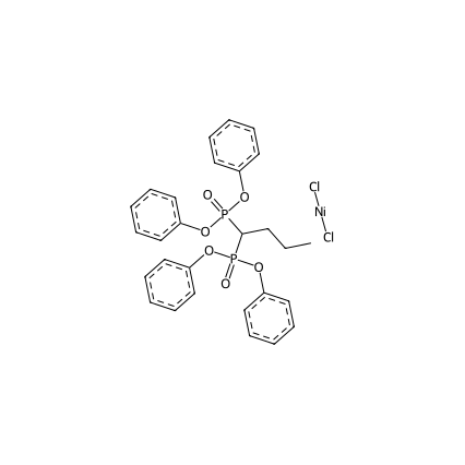 CCCC(P(=O)(Oc1ccccc1)Oc1ccccc1)P(=O)(Oc1ccccc1)Oc1ccccc1.[Cl][Ni][Cl]